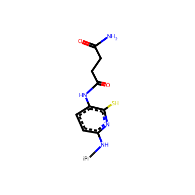 CC(C)Nc1ccc(NC(=O)CCC(N)=O)c(S)n1